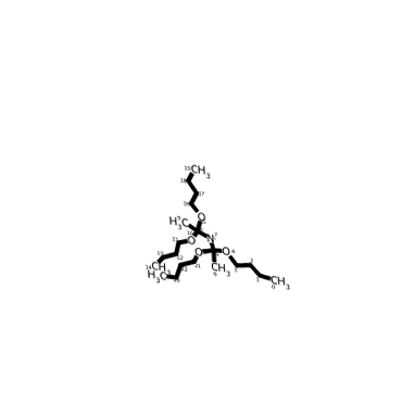 CCCCOC(C)([N]C(C)(OCCCC)OCCCC)OCCCC